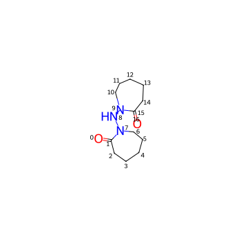 O=C1CCCCCN1NN1CCCCCC1=O